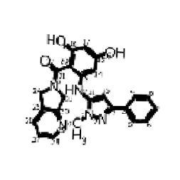 Cn1nc(-c2ccccc2)cc1Nc1cc(O)cc(O)c1C(=O)N1Cc2cccnc2C1